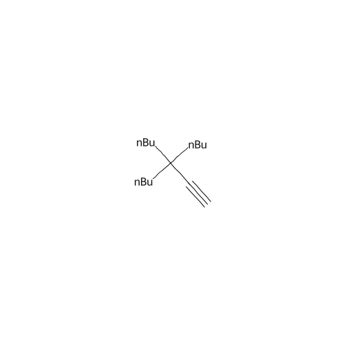 C#CC(CCCC)(CCCC)CCCC